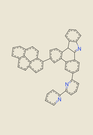 c1ccc(-c2cccc(-c3ccc4c(c3)-c3cc(-c5ccc6ccc7cccc8ccc5c6c78)ccc3C3C4=Nc4ccccc43)n2)nc1